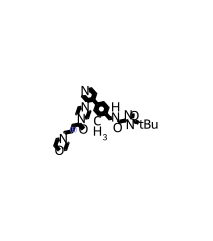 Cc1cc(-c2ccncc2N2CCN(C(=O)/C=C/CN3CCOCC3)CC2)ccc1CNC(=O)c1noc(C(C)(C)C)n1